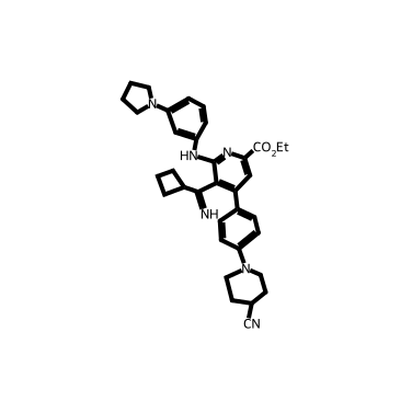 CCOC(=O)c1cc(-c2ccc(N3CCC(C#N)CC3)cc2)c(C(=N)C2CCC2)c(Nc2cccc(N3CCCC3)c2)n1